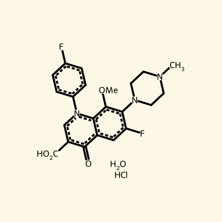 COc1c(N2CCN(C)CC2)c(F)cc2c(=O)c(C(=O)O)cn(-c3ccc(F)cc3)c12.Cl.O